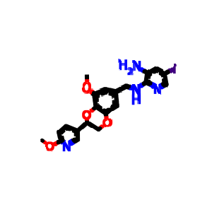 COc1ccc(C2COc3cc(CNc4ncc(I)cc4N)cc(OC)c3O2)cn1